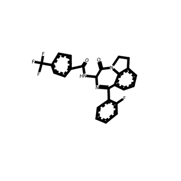 O=C(NC1N=C(c2ccccc2F)c2cccc3c2N(CC3)C1=O)c1ccc(C(F)(F)F)cc1